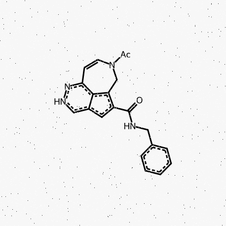 CC(=O)N1C=Cc2n[nH]cc3cc(C(=O)NCc4ccccc4)c(c2-3)C1